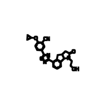 N#Cc1cc(-c2nc(-c3cccc4c3CC3CC(=O)N(CCO)C43)no2)ccc1OC1CC1